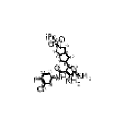 CC(C)S(=O)(=O)N1CC2CC(c3nn(C)c(N)c3C(=O)Nc3ccc(F)c(Cl)c3)CC2C1